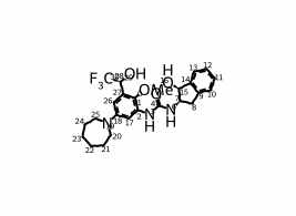 COc1c(NC(=O)N[C@@H]2Cc3ccccc3[C@@H]2O)cc(N2CCCCCC2)cc1[C@H](O)C(F)(F)F